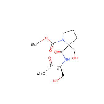 COC(=O)[C@H](CO)NC(=O)C1(CO)CCCN1C(=O)OC(C)(C)C